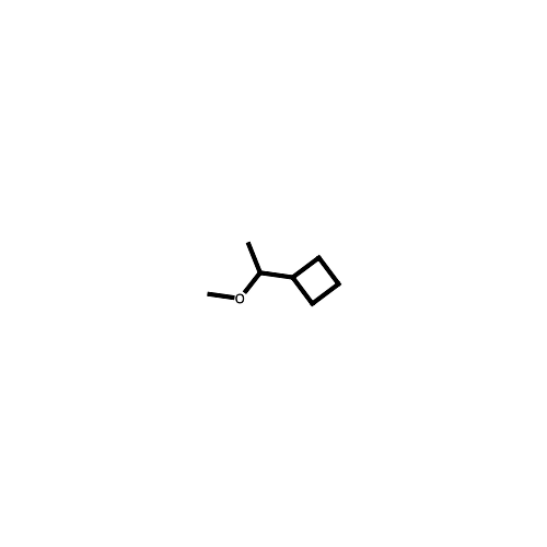 COC(C)C1CCC1